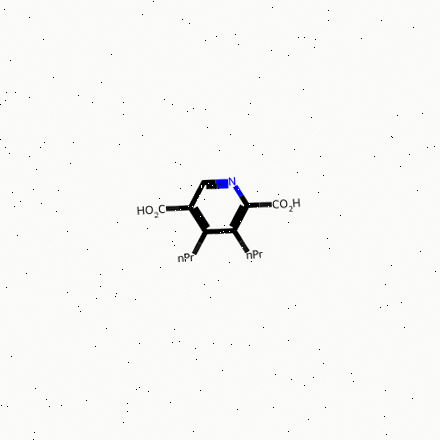 CCCc1c(C(=O)O)cnc(C(=O)O)c1CCC